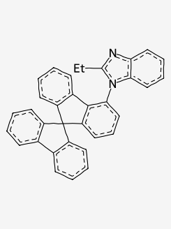 CCc1nc2ccccc2n1-c1cccc2c1-c1ccccc1C21c2ccccc2-c2ccccc21